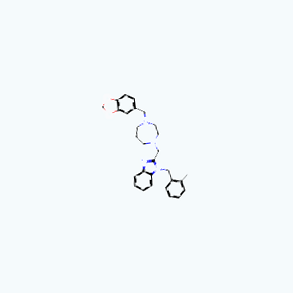 Cc1ccccc1Cn1c(CN2CCCN(Cc3ccc4c(c3)OCO4)CC2)nc2ccccc21